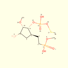 BC1C[C@H](CCP(=O)(O)OC)[C@@H](OP(=O)(O)OSC)[C@H]1OC